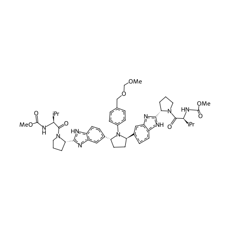 COCOCc1ccc(N2[C@@H](c3ccc4[nH]c([C@@H]5CCCN5C(=O)[C@@H](NC(=O)OC)C(C)C)nc4c3)CC[C@@H]2c2ccc3[nH]c([C@@H]4CCCN4C(=O)[C@@H](NC(=O)OC)C(C)C)nc3c2)cc1